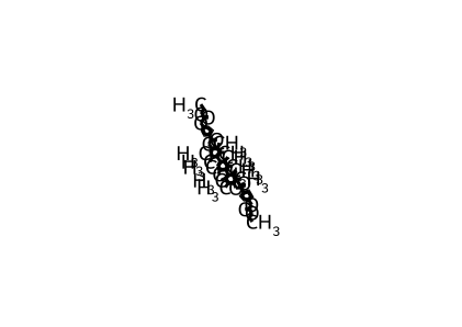 CCOC(=O)Oc1ccc(C(=O)Oc2c(C)c(C)c(-c3c(C)c(C)c(-c4c(C)c(C)c(OC(=O)c5ccc(OC(=O)OCC)cc5)c(C)c4C)c(C)c3C)c(C)c2C)cc1